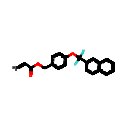 C=CC(=O)OCc1ccc(OC(F)(F)c2ccc3ccccc3c2)cc1